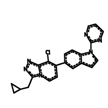 Clc1c(-c2ccc3c(ccn3-c3ncccn3)c2)ccn2c(CC3CC3)nnc12